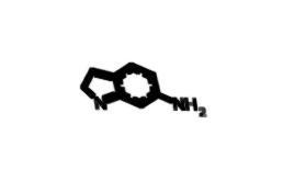 Nc1ccc2c(c1)=NCC=2